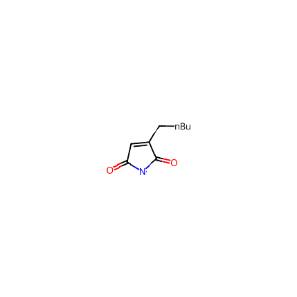 CCCCCC1=CC(=O)[N]C1=O